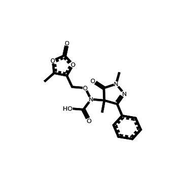 Cc1oc(=O)oc1CON(C(=O)O)C1(C)C(=O)N(C)N=C1c1ccccc1